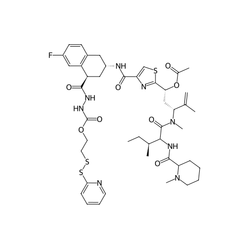 C=C(C)[C@@H](C[C@@H](OC(C)=O)c1nc(C(=O)N[C@H]2Cc3ccc(F)cc3[C@H](C(=O)NNC(=O)OCCSSc3ccccn3)C2)cs1)N(C)C(=O)C(NC(=O)C1CCCCN1C)[C@@H](C)CC